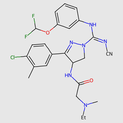 CCN(C)CC(=O)NC1CN(C(=NC#N)Nc2cccc(OC(F)F)c2)N=C1c1ccc(Cl)c(C)c1